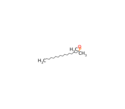 CCCCCCCCCCCCCCCC(C)(C)P=O